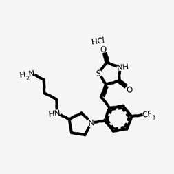 Cl.NCCCNC1CCN(c2ccc(C(F)(F)F)cc2C=C2SC(=O)NC2=O)C1